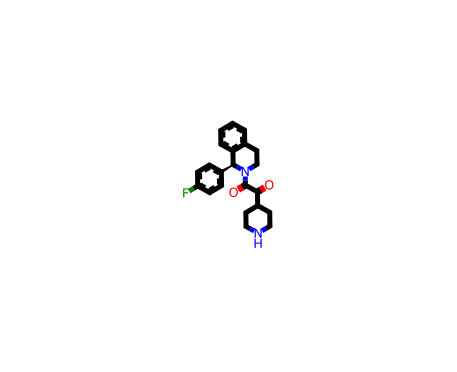 O=C(C(=O)N1CCc2ccccc2[C@@H]1c1ccc(F)cc1)C1CCNCC1